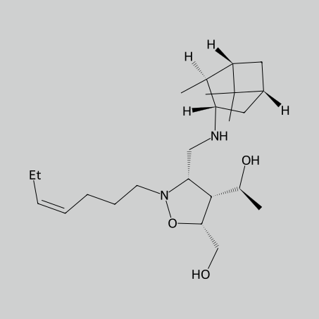 CC/C=C\CCCN1O[C@@H](CO)[C@@H]([C@H](C)O)[C@H]1CN[C@H]1C[C@H]2C[C@@H]([C@@H]1C)C2(C)C